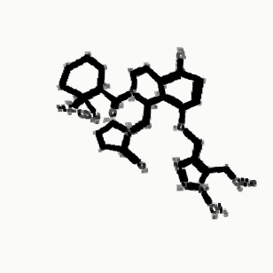 COCc1c(COc2ccc(Cl)c3c2C(CN2CCCC2=O)N(C(=O)[C@@H]2CCCC[C@]2(C)C(=O)O)CC3)nnn1C